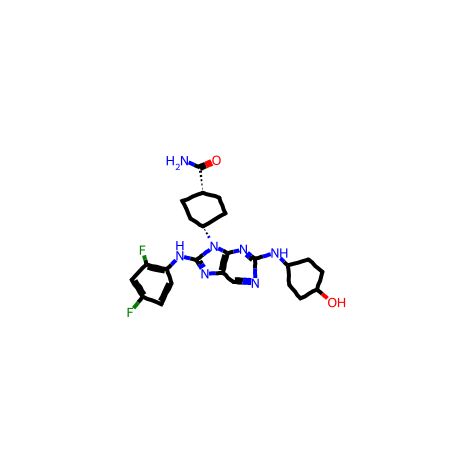 NC(=O)[C@H]1CC[C@@H](n2c(Nc3ccc(F)cc3F)nc3cnc(NC4CCC(O)CC4)nc32)CC1